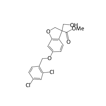 COC(=O)C1(CO)COc2cc(OCc3ccc(Cl)cc3Cl)ccc21